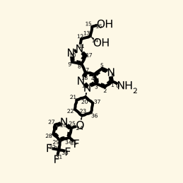 Nc1cc2c(cn1)c(-c1cnn(C[C@@H](O)CO)c1)nn2[C@H]1CC[C@@H](Oc2nccc(C(F)(F)F)c2F)CC1